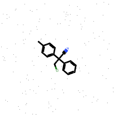 Cc1ccc(C(C#N)(CCl)c2ccccc2)cc1